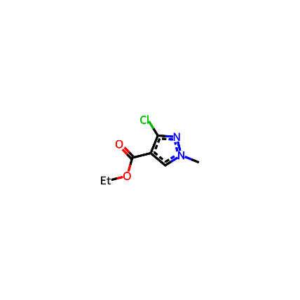 CCOC(=O)c1cn(C)nc1Cl